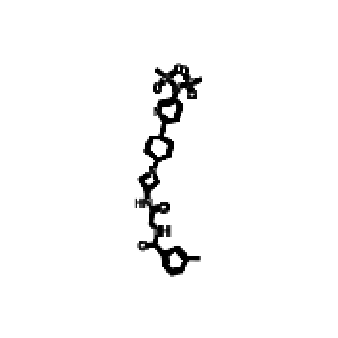 Cc1cccc(C(=O)NCC(=O)NC2CN(C3CCC(c4ccc(N(S(C)(=O)=O)S(C)(=O)=O)cn4)CC3)C2)c1